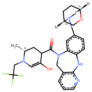 C[C@@H]1CC(C(=O)N2Cc3cccnc3Nc3ccc(N4C[C@@H]5CC[C@H]4CO5)cc32)C(O)=CN1CC(F)(F)F